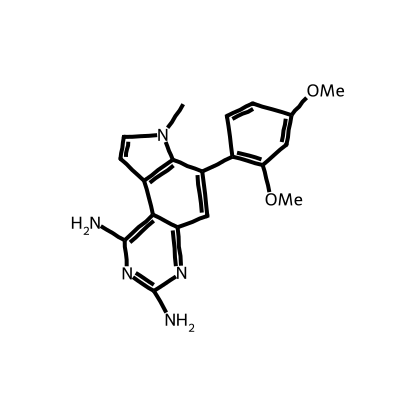 COc1ccc(-c2cc3nc(N)nc(N)c3c3ccn(C)c23)c(OC)c1